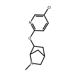 CN1CC2CC(Oc3ccc(Cl)cn3)C1C2